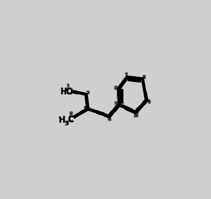 CC(CO)CC1=CC=CC[CH]1